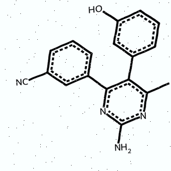 Cc1nc(N)nc(-c2cccc(C#N)c2)c1-c1cccc(O)c1